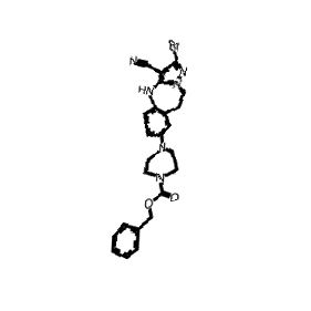 N#Cc1c(Br)nn2c1Nc1ccc(N3CCN(C(=O)OCc4ccccc4)CC3)cc1CC2